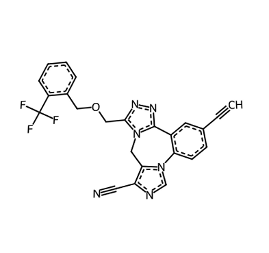 C#Cc1ccc2c(c1)-c1nnc(COCc3ccccc3C(F)(F)F)n1Cc1c(C#N)ncn1-2